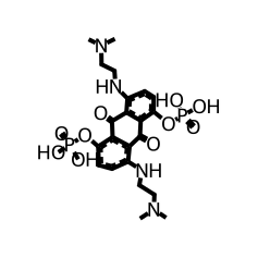 CN(C)CCNc1ccc(OP(=O)(O)O)c2c1C(=O)c1c(OP(=O)(O)O)ccc(NCCN(C)C)c1C2=O